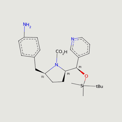 CC(C)(C)[Si](C)(C)O[C@H](c1cccnc1)[C@H]1CC[C@@H](Cc2ccc(N)cc2)N1C(=O)O